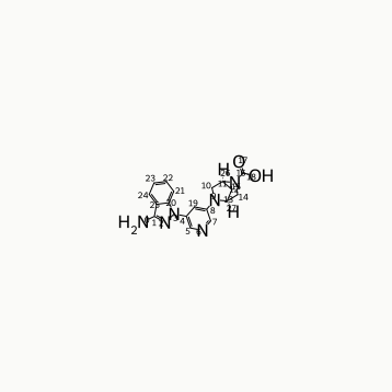 Nc1nn(-c2cncc(N3C[C@@H]4C[C@H]3CN4C(=O)O)c2)c2ccccc12